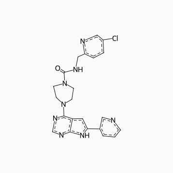 O=C(NCc1ccc(Cl)cn1)N1CCN(c2ncnc3[nH]c(-c4cccnc4)cc23)CC1